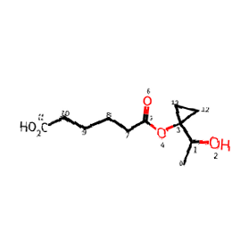 CC(O)C1(OC(=O)CCCCC(=O)O)CC1